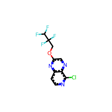 FC(F)C(F)(F)COc1cnc2c(Cl)nccc2n1